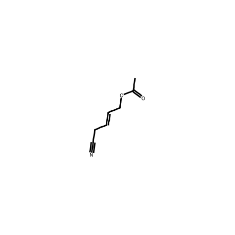 CC(=O)OCC=CCC#N